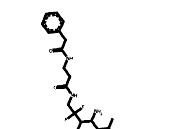 CC(C)CC(N)C(O)C(F)(F)CNC(=O)CCNC(=O)Cc1ccccc1